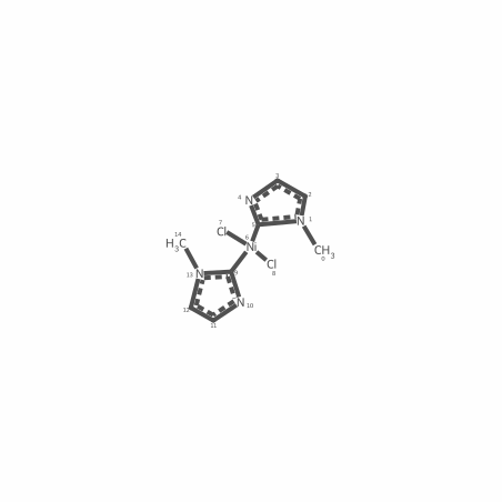 Cn1ccn[c]1[Ni]([Cl])([Cl])[c]1nccn1C